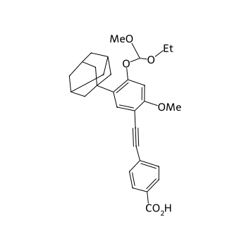 CCOC(OC)Oc1cc(OC)c(C#Cc2ccc(C(=O)O)cc2)cc1C12CC3CC(CC(C3)C1)C2